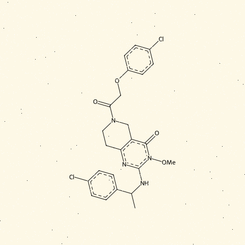 COn1c(NC(C)c2ccc(Cl)cc2)nc2c(c1=O)CN(C(=O)COc1ccc(Cl)cc1)CC2